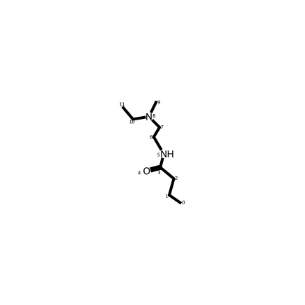 CCCC(=O)NCCN(C)CC